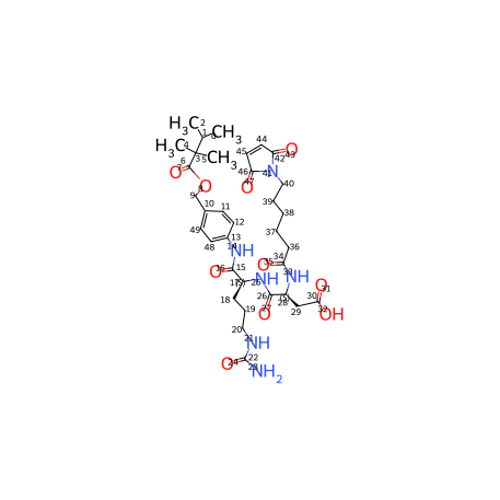 CC(C)C(C)(C)C(=O)OCc1ccc(NC(=O)[C@H](CCCNC(N)=O)NC(=O)[C@H](CC(=O)O)NC(=O)CCCCCN2C(=O)C=CC2=O)cc1